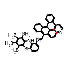 Bc1c(B)c(B)c(Nc2ccccc2/N=C/c2c3ccccc3c(-c3ccccc3-c3ccncc3)c3ccccc23)c(B)c1B